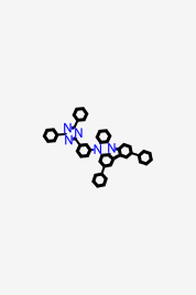 c1ccc(-c2ccc3c(c2)c2cc(-c4ccccc4)cc4c2n3-c2ccccc2N4c2cccc(-c3nc(-c4ccccc4)nc(-c4ccccc4)n3)c2)cc1